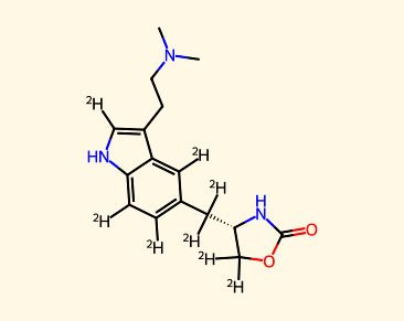 [2H]c1[nH]c2c([2H])c([2H])c(C([2H])([2H])[C@@H]3NC(=O)OC3([2H])[2H])c([2H])c2c1CCN(C)C